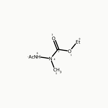 CCOC(=O)N(C)[N]C(C)=O